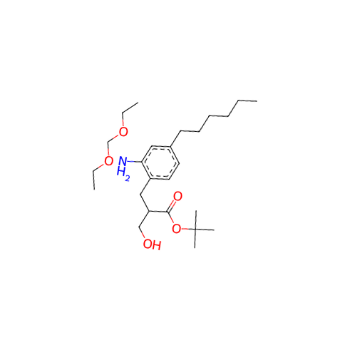 CCCCCCc1ccc(CC(CO)C(=O)OC(C)(C)C)c(N)c1.CCOCOCC